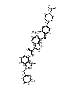 COc1cc(N2CCC(N(C)C)CC2)ccc1Nc1ncnc2c(C(=O)Nc3cccc4c3c(C)nn4Cc3cccc(C)n3)csc12